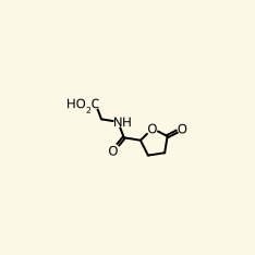 O=C(O)CNC(=O)C1CCC(=O)O1